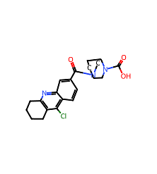 O=C(O)N1CC2CCC1CN2C(=O)c1ccc2c(Cl)c3c(nc2c1)CCCC3